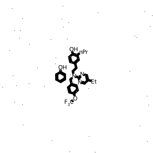 CCCc1cc(CCN(Cc2ccc(OC(F)(F)F)cc2)c2ncc(CC)cn2)ccc1O.Oc1ccccc1